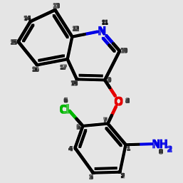 Nc1cccc(Cl)c1Oc1cnc2ccccc2c1